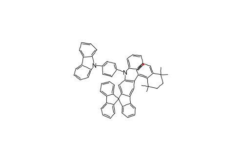 CC1(C)CCC(C)(C)c2c(-c3cc4c(cc3N(c3ccccc3)c3ccc(-n5c6ccccc6c6ccccc65)cc3)C3(c5ccccc5-c5ccccc53)c3ccccc3-4)cccc21